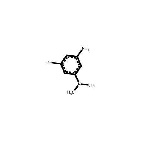 CC(C)c1cc(N)cc(N(C)C)c1